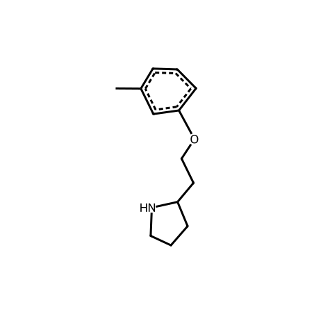 Cc1cccc(OCCC2CCCN2)c1